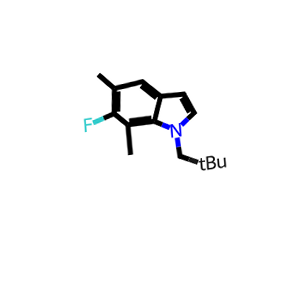 Cc1cc2ccn(CC(C)(C)C)c2c(C)c1F